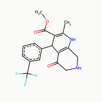 COC(=O)C1=C(C)NC2=C(C(=O)CNC2)C1c1cccc(C(F)(F)F)c1